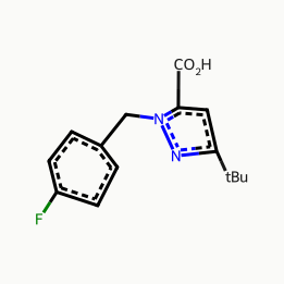 CC(C)(C)c1cc(C(=O)O)n(Cc2ccc(F)cc2)n1